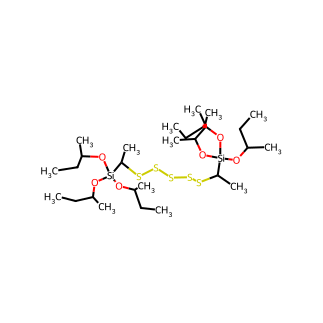 CCC(C)O[Si](OC(C)CC)(OC(C)CC)C(C)SSSSSC(C)[Si](OC(C)CC)(OC(C)CC)OC(C)CC